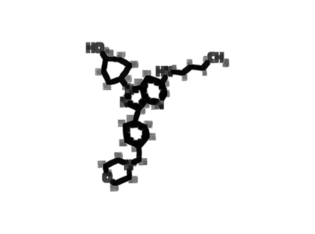 CCCCNc1cnc2c(-c3ccc(CN4CCOCC4)cc3)nn(C3CCC(O)CC3)c2c1